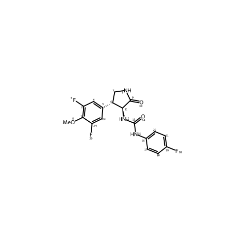 COc1c(F)cc([C@@H]2CNC(=O)[C@H]2NC(=O)Nc2ccc(F)cc2)cc1F